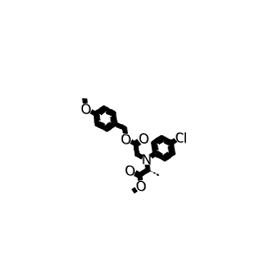 COC(=O)[C@@H](C)N(CC(=O)OCc1ccc(OC)cc1)c1ccc(Cl)cc1